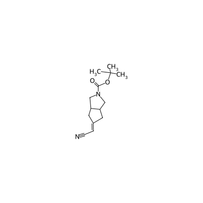 CC(C)(C)OC(=O)N1CC2CC(=CC#N)CC2C1